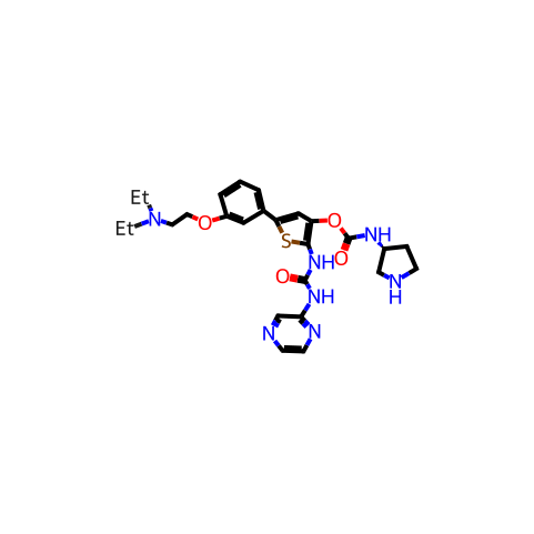 CCN(CC)CCOc1cccc(-c2cc(OC(=O)N[C@H]3CCNC3)c(NC(=O)Nc3cnccn3)s2)c1